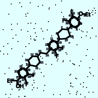 CCOc1ccc(C2CCC(c3ccc(CCC4CCC(c5ccc(C(O)CC)c(F)c5F)CC4)c(F)c3F)CC2)c(F)c1F